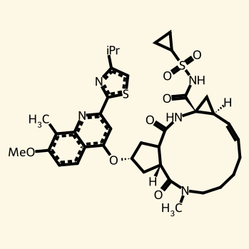 COc1ccc2c(O[C@@H]3CC4C(=O)N[C@]5(C(=O)NS(=O)(=O)C6CC6)C[C@H]5/C=C\CCCCN(C)C(=O)[C@@H]4C3)cc(-c3nc(C(C)C)cs3)nc2c1C